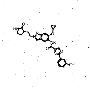 Cc1cccc(-c2nc(C(=O)Nc3cc4cn(CCC5CCNC5=O)nc4cc3OC3CC3)co2)c1